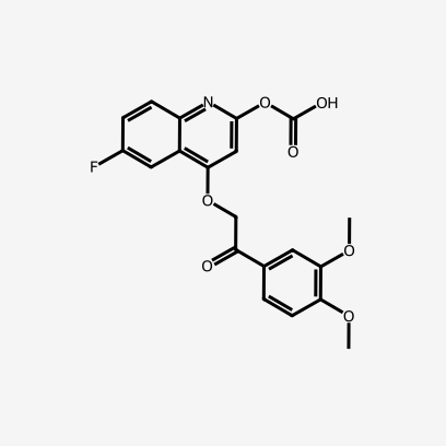 COc1ccc(C(=O)COc2cc(OC(=O)O)nc3ccc(F)cc23)cc1OC